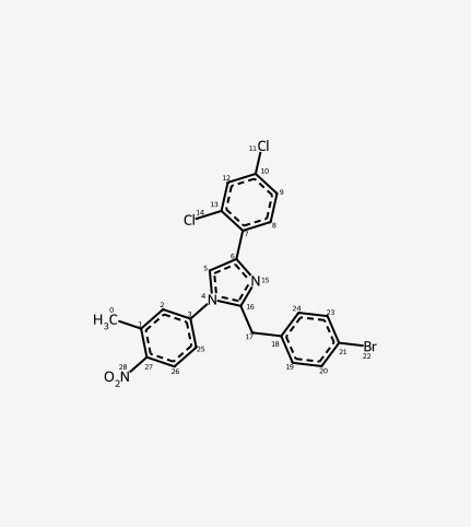 Cc1cc(-n2cc(-c3ccc(Cl)cc3Cl)nc2Cc2ccc(Br)cc2)ccc1[N+](=O)[O-]